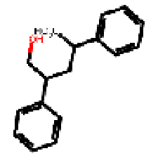 O=C(O)C(CC(CO)c1ccccc1)c1ccccc1